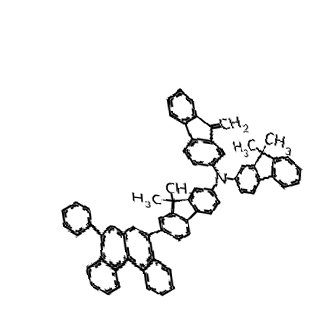 C=C1c2ccccc2-c2ccc(N(c3ccc4c(c3)C(C)(C)c3ccccc3-4)c3ccc4c(c3)C(C)(C)c3cc(-c5cc6cc(-c7ccccc7)c7ccccc7c6c6ccccc56)ccc3-4)cc21